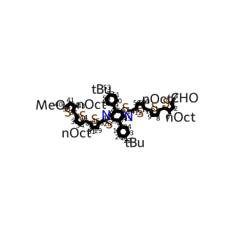 CCCCCCCCc1cc(C=O)sc1-c1ccc(-c2sc(-c3nc4c(-c5ccc(C(C)(C)C)cc5)c5sc(-c6cc(CCCCCCCC)c(-c7ccc(-c8sc(OC)cc8CCCCCCCC)s7)s6)nc5c(-c5ccc(C(C)(C)C)cc5)c4s3)cc2CCCCCCCC)s1